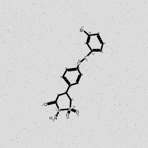 NN1C(=O)CC(c2ccc(OCc3cccc(Br)c3)cc2)CS1(=O)=O